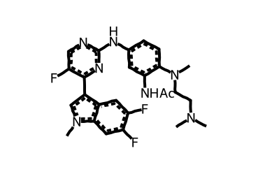 CC(=O)Nc1cc(Nc2ncc(F)c(-c3cn(C)c4cc(F)c(F)cc34)n2)ccc1N(C)CCN(C)C